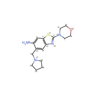 Nc1cc2sc(N3CCOCC3)nc2cc1CN1CCCC1